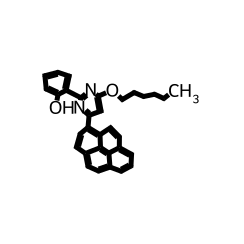 CCCCCCOc1cc(-c2ccc3ccc4cccc5ccc2c3c45)nc(-c2ccccc2O)n1